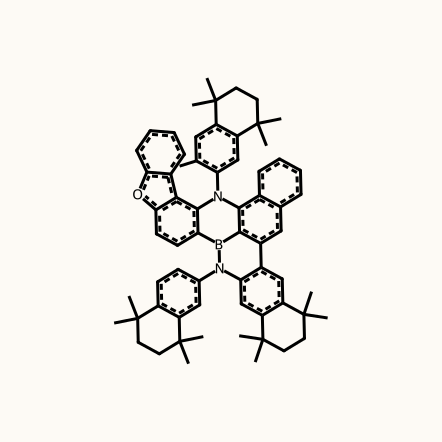 Cc1cc2c(cc1N1c3c4c(cc5ccccc35)-c3cc5c(cc3N(c3ccc6c(c3)C(C)(C)CCC6(C)C)B4c3ccc4oc6ccccc6c4c31)C(C)(C)CCC5(C)C)C(C)(C)CCC2(C)C